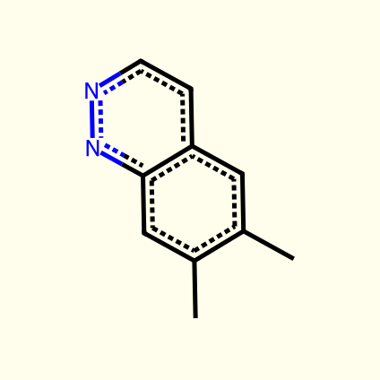 Cc1cc2ccnnc2cc1C